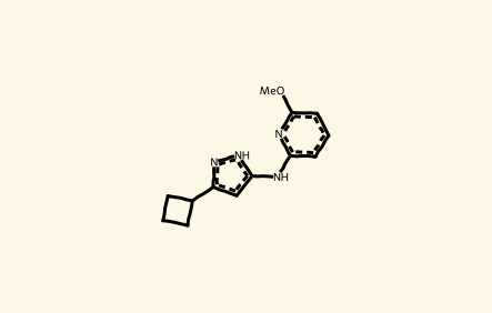 COc1cccc(Nc2cc(C3CCC3)n[nH]2)n1